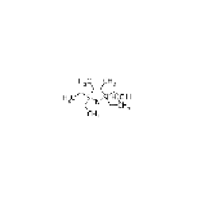 CC[Si](CC)(CC)[N-][Si](CC)(CC)CC.[Li+]